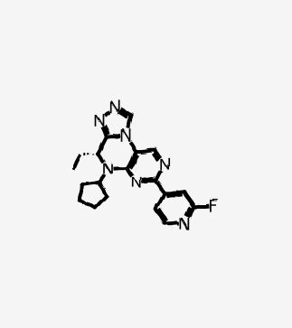 CC[C@@H]1c2nncn2-c2cnc(-c3ccnc(F)c3)nc2N1C1CCCC1